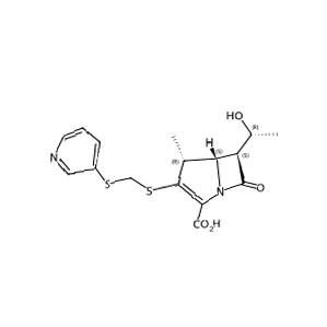 C[C@@H](O)[C@H]1C(=O)N2C(C(=O)O)=C(SCSc3cccnc3)[C@H](C)[C@H]12